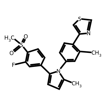 Cc1cc(-n2c(C)ccc2-c2ccc(S(C)(=O)=O)c(F)c2)ccc1-c1cscn1